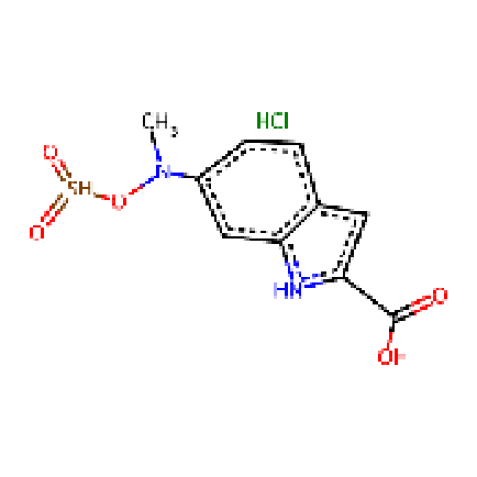 CN(O[SH](=O)=O)c1ccc2cc(C(=O)O)[nH]c2c1.Cl